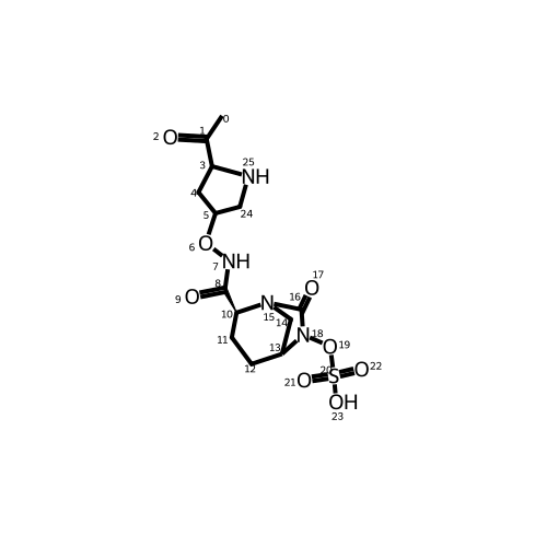 CC(=O)C1CC(ONC(=O)[C@@H]2CCC3CN2C(=O)N3OS(=O)(=O)O)CN1